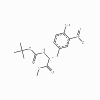 COC(=O)[C@@H](Cc1ccc(O)c([N+](=O)[O-])c1)NC(=O)OC(C)(C)C